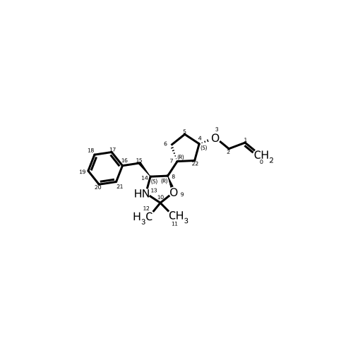 C=CCO[C@H]1CC[C@@H]([C@H]2OC(C)(C)N[C@H]2Cc2ccccc2)C1